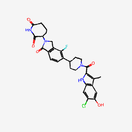 Cc1c(C(=O)N2CCC(c3ccc4c(c3F)CN(C3CCC(=O)NC3=O)C4=O)CC2)[nH]c2cc(Cl)c(O)cc12